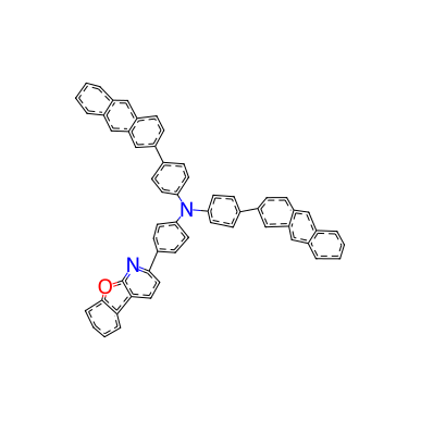 c1ccc2cc3cc(-c4ccc(N(c5ccc(-c6ccc7cc8ccccc8cc7c6)cc5)c5ccc(-c6ccc7c(n6)oc6ccccc67)cc5)cc4)ccc3cc2c1